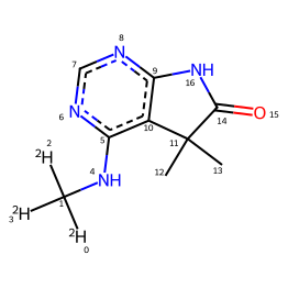 [2H]C([2H])([2H])Nc1ncnc2c1C(C)(C)C(=O)N2